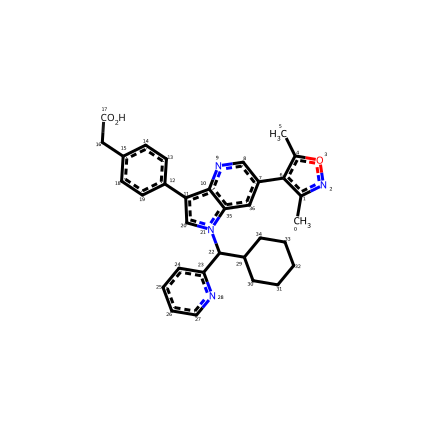 Cc1noc(C)c1-c1cnc2c(-c3ccc(CC(=O)O)cc3)cn(C(c3ccccn3)C3CCCCC3)c2c1